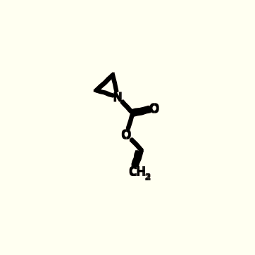 C=COC(=O)N1CC1